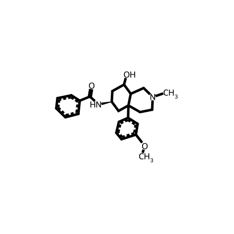 COc1cccc(C23CCN(C)CC2C(O)C[C@H](NC(=O)c2ccccc2)C3)c1